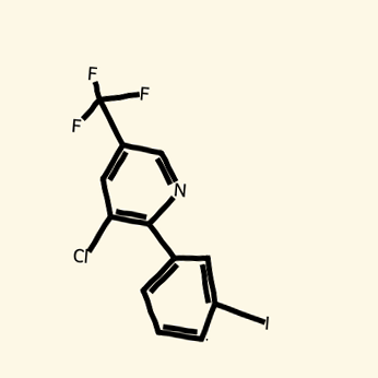 FC(F)(F)c1cnc(-c2cc[c]c(I)c2)c(Cl)c1